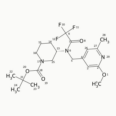 COc1cc(CN(C(=O)C(F)(F)F)[C@H]2CCCN(C(=O)OC(C)(C)C)C2)cc(C)n1